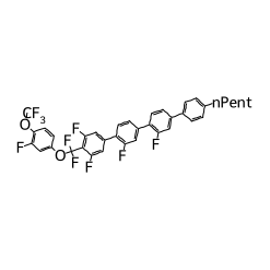 CCCCCc1ccc(-c2ccc(-c3ccc(-c4cc(F)c(C(F)(F)Oc5ccc(OC(F)(F)F)c(F)c5)c(F)c4)c(F)c3)c(F)c2)cc1